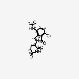 CC(=O)Nc1ccc(Cl)c2c1CN(C1CCC(=O)NC1=O)C2=O